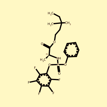 CCC(C)(C)CCOC(=O)[C@H](C)NP(=O)(Oc1ccccc1)Oc1c(F)c(F)c(F)c(F)c1F